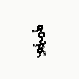 CCOc1ccc2c(C)c(CCN3CCN(c4ccccc4OC)CC3)c(=O)oc2c1OCC